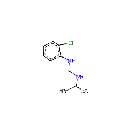 CCCC(CCC)NCNc1ccccc1Cl